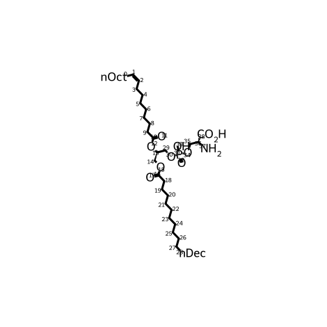 CCCCCCCC/C=C\CCCCCCCC(=O)O[C@H](COC(=O)CCCCCCCCCCCCCCCCCCCC)COP(=O)(O)OC[C@H](N)C(=O)O